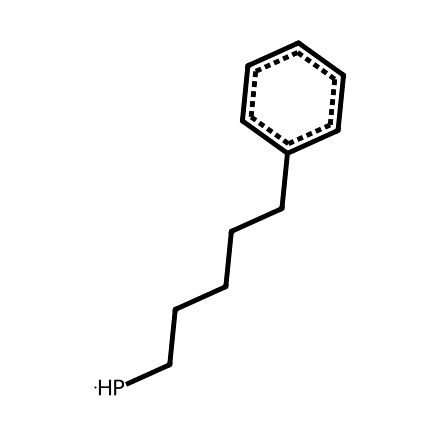 [PH]CCCCCc1ccccc1